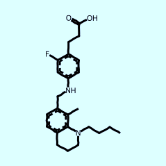 CCCCN1CCCc2ccc(CNc3ccc(CCC(=O)O)c(F)c3)c(C)c21